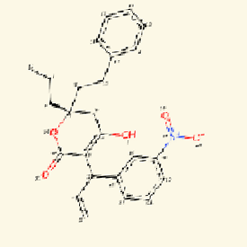 C=C[C@@H](C1=C(O)C[C@@](CCC)(CCc2ccccc2)OC1=O)c1cccc([N+](=O)[O-])c1